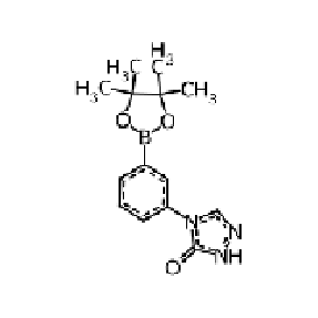 CC1(C)OB(c2cccc(-n3cn[nH]c3=O)c2)OC1(C)C